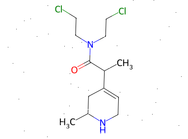 CC1CC(C(C)C(=O)N(CCCl)CCCl)=CCN1